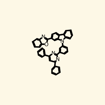 c1ccc(-c2cc(-c3ccccc3)nc(-c3cccc(-n4c5ccccc5c5ccc(-c6nc7ccccc7o6)cc54)c3)n2)cc1